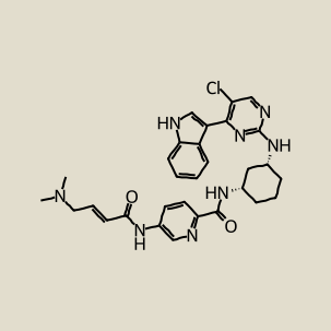 CN(C)C/C=C/C(=O)Nc1ccc(C(=O)N[C@H]2CCC[C@@H](Nc3ncc(Cl)c(-c4c[nH]c5ccccc45)n3)C2)nc1